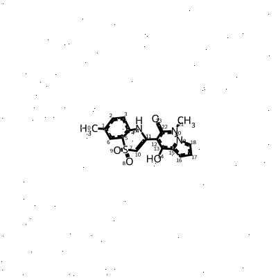 Cc1ccc2c(c1)S(=O)(=O)C=C(c1c(O)c3cccn3n(C)c1=O)N2